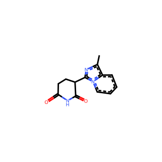 Cc1nc(C2CCC(=O)NC2=O)n2ccccc12